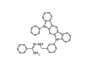 N/C(=N\NCc1cccc(-n2c3ccccc3c3cc4c5ccccc5n(-c5ccccc5)c4cc32)c1)c1ccccc1